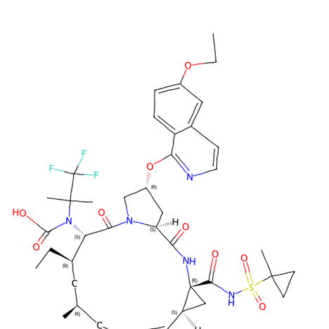 CCOc1ccc2c(O[C@@H]3C[C@H]4C(=O)N[C@]5(C(=O)NS(=O)(=O)C6(C)CC6)C[C@H]5C=CCC[C@@H](C)C[C@@H](CC)[C@H](N(C(=O)O)C(C)(C)C(F)(F)F)C(=O)N4C3)nccc2c1